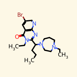 CCCC(c1nc2ncc(Br)cc2c(=O)n1CC)N1CCCN(CC)CC1